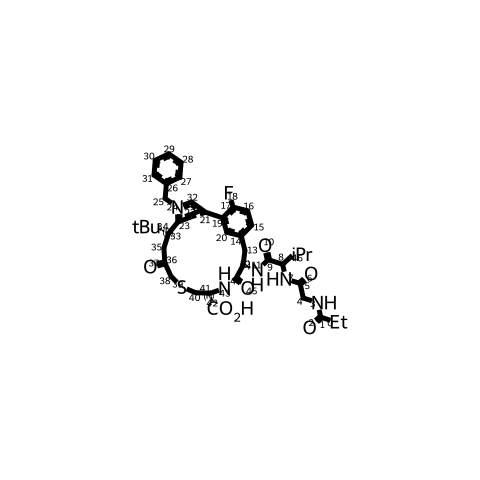 CCC(=O)NCC(=O)NC(C(=O)N[C@H]1Cc2ccc(F)c(c2)-c2cc(n(Cc3ccccc3)c2)[C@@H](C(C)(C)C)CC(=O)CSC[C@@H](C(=O)O)NC1=O)C(C)C